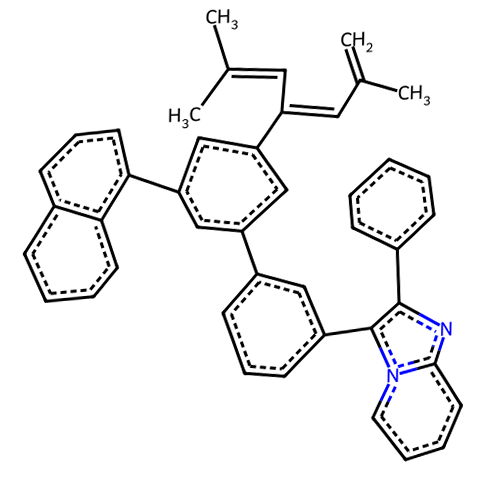 C=C(C)/C=C(\C=C(C)C)c1cc(-c2cccc(-c3c(-c4ccccc4)nc4ccccn34)c2)cc(-c2cccc3ccccc23)c1